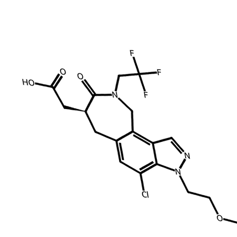 COCCn1ncc2c3c(cc(Cl)c21)C[C@@H](CC(=O)O)C(=O)N(CC(F)(F)F)C3